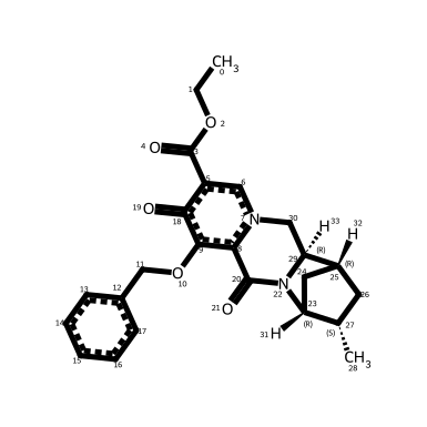 CCOC(=O)c1cn2c(c(OCc3ccccc3)c1=O)C(=O)N1[C@@H]3C[C@@H](C[C@@H]3C)[C@@H]1C2